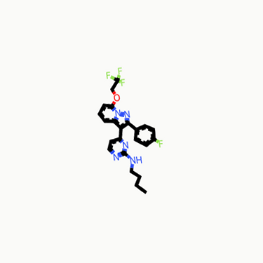 CCCCNc1nccc(-c2c(-c3ccc(F)cc3)nn3c(OCC(F)(F)F)cccc23)n1